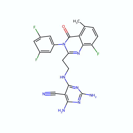 Cc1ccc(F)c2nc(CCNc3nc(N)nc(N)c3C#N)n(-c3cc(F)cc(F)c3)c(=O)c12